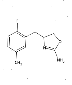 Cc1ccc(F)c(CC2COC(N)=N2)c1